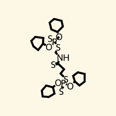 S=C(CCSP(=S)(OC1CCCCC1)OC1CCCCC1)NCSP(=S)(OC1CCCCC1)OC1CCCCC1